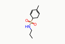 CCCNS(=O)(=O)C1C=CC(C)=CC1